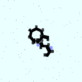 C=C1CCCCC/[PH]1=C/C=C\C